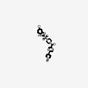 O=C(c1cnc(-c2cc[n+]([O-])cc2)cn1)N1CCN(S(=O)(=O)c2nc3cc(Cl)ccc3[nH]2)CC1